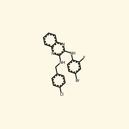 Fc1cc(Br)ccc1Nc1nc2ccccc2nc1NCc1ccc(Cl)cc1